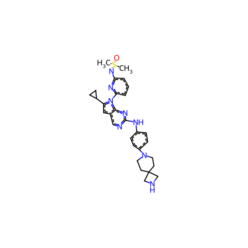 CS(C)(=O)=Nc1cccc(-n2c(C3CC3)cc3cnc(Nc4ccc(N5CCC6(CC5)CNC6)cc4)nc32)n1